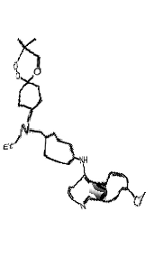 CCN(C1CCC(Nc2ccnc3cc(Cl)ccc23)CC1)C1CCC2(CC1)OCC(C)(C)OO2